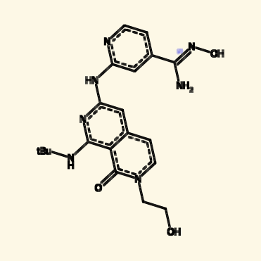 CC(C)(C)Nc1nc(Nc2cc(/C(N)=N/O)ccn2)cc2ccn(CCO)c(=O)c12